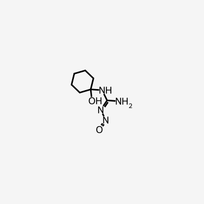 NC(=NN=O)NC1(O)CCCCC1